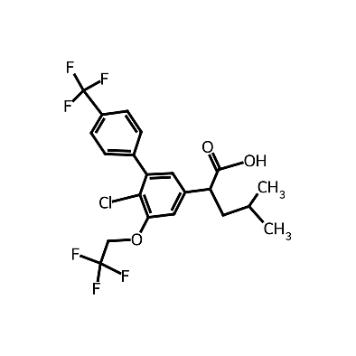 CC(C)CC(C(=O)O)c1cc(OCC(F)(F)F)c(Cl)c(-c2ccc(C(F)(F)F)cc2)c1